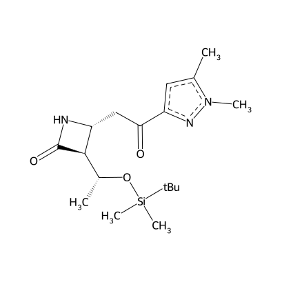 Cc1cc(C(=O)C[C@H]2NC(=O)[C@@H]2[C@@H](C)O[Si](C)(C)C(C)(C)C)nn1C